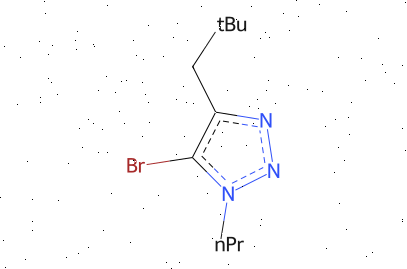 CCCn1nnc(CC(C)(C)C)c1Br